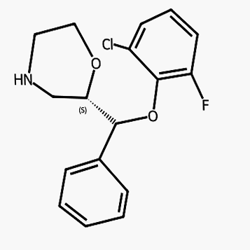 Fc1cccc(Cl)c1OC(c1ccccc1)[C@@H]1CNCCO1